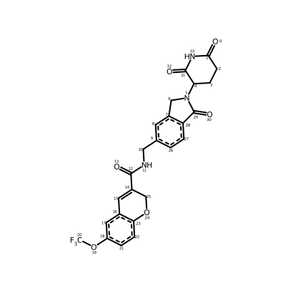 O=C1CCC(N2Cc3cc(CNC(=O)C4=Cc5cc(OC(F)(F)F)ccc5OC4)ccc3C2=O)C(=O)N1